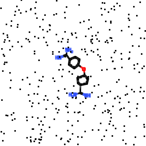 N=C(N)c1ccc(Oc2ccc(C(=N)N)cc2)cc1